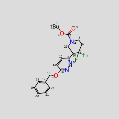 CC(C)(C)OC(=O)N1CCC(F)(F)C(c2ccc(OCc3ccccc3)nn2)C1